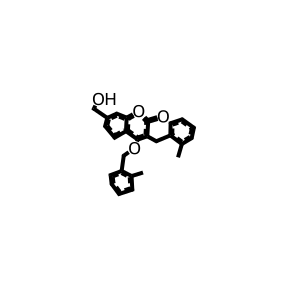 Cc1ccccc1COc1c(Cc2ccccc2C)c(=O)oc2cc(CO)ccc12